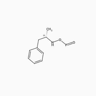 C[C@@H](Cc1ccccc1)NOP=O